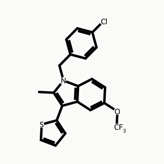 Cc1c(-c2cccs2)c2cc(OC(F)(F)F)ccc2n1Cc1ccc(Cl)cc1